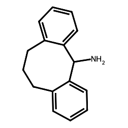 NC1c2ccccc2CCCc2ccccc21